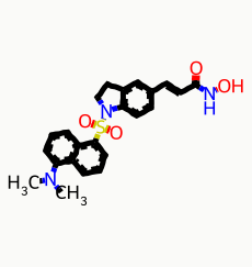 CN(C)c1cccc2c(S(=O)(=O)N3CCc4cc(C=CC(=O)NO)ccc43)cccc12